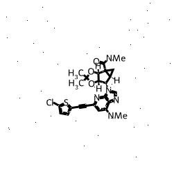 CNC(=O)C12C[C@H]1[C@@H](n1cnc3c(NC)cc(C#Cc4ccc(Cl)s4)nc31)[C@@H]1OC(C)(C)O[C@@H]12